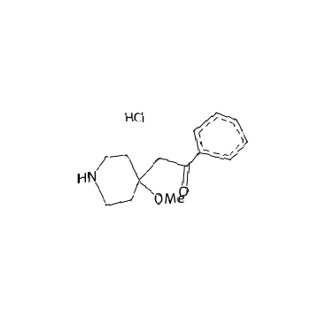 COC1(CC(=O)c2ccccc2)CCNCC1.Cl